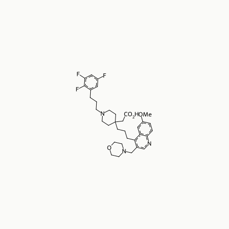 COc1ccc2ncc(CN3CCOCC3)c(CCCC3(CC(=O)O)CCN(CCCc4cc(F)cc(F)c4F)CC3)c2c1